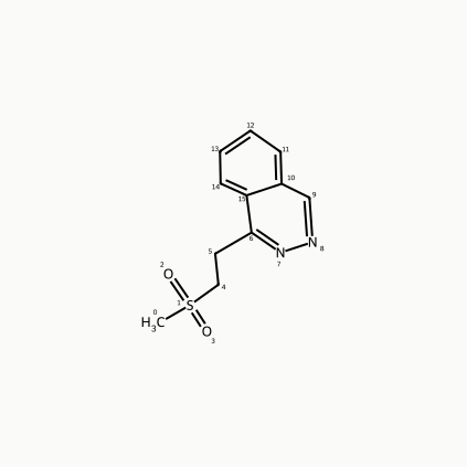 CS(=O)(=O)CCc1nncc2ccccc12